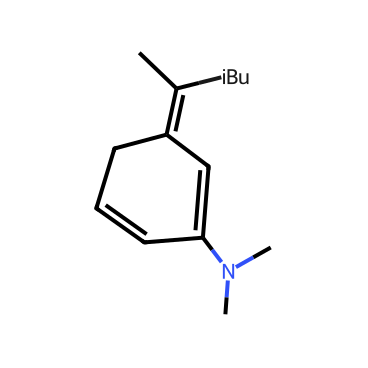 CCC(C)C(C)=C1C=C(N(C)C)C=CC1